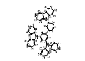 c1cc(-c2cc(-n3c4ccncc4c4cnccc43)cc(-n3c4ccncc4c4cnccc43)c2)cc(-n2c3ccncc3c3cnccc32)c1